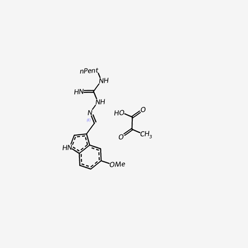 CC(=O)C(=O)O.CCCCCNC(=N)N/N=C/c1c[nH]c2ccc(OC)cc12